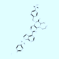 Cc1ccc(S(=O)(=O)n2ccc3c(-c4ncc5c(n4)N4CCOCC4C(=O)N5Cc4ccc(S(C)(=O)=O)cc4)ccnc32)cc1